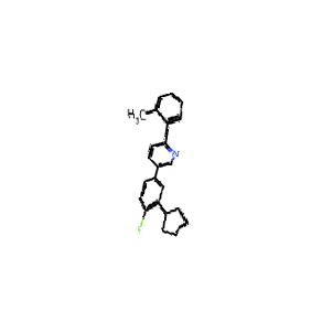 Cc1ccccc1-c1ccc(-c2ccc(F)c(C3CCCC3)c2)cn1